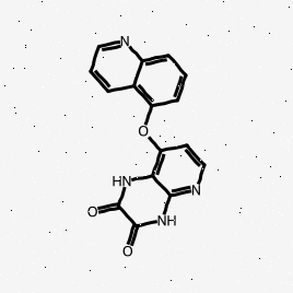 O=c1[nH]c2nccc(Oc3cccc4ncccc34)c2[nH]c1=O